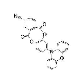 N#Cc1ccc2c(c1)C(=O)Oc1ccc(N3c4ccccc4Oc4ccccc43)cc1OC2=O